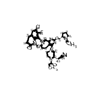 C=CC(=O)N1CCN(c2nc(OC[C@@H]3CCCN3C)nc3c2CCCN(c2c(F)c(Cl)cc4c2N(C)C(=O)CC4)C3)C[C@@H]1CC#N